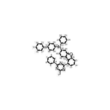 Cc1nc(-c2ccccc2)nc(-c2cccc3oc4cc(N(c5ccccc5)c5ccc(-c6ccccc6)cc5)ccc4c23)n1